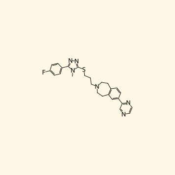 Cn1c(SCCCN2CCc3ccc(-c4cnccn4)cc3CC2)nnc1-c1ccc(F)cc1